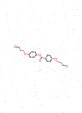 O=CCCOc1ccc(OC(=O)c2ccc(OCCC=O)cc2)cc1